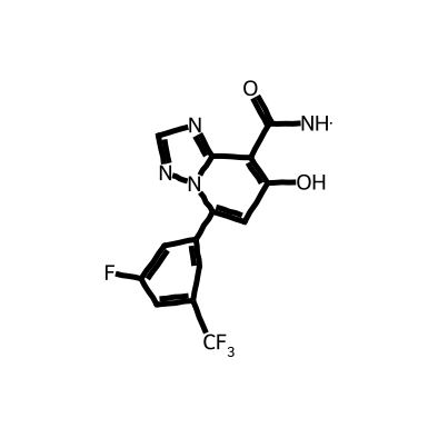 [NH]C(=O)c1c(O)cc(-c2cc(F)cc(C(F)(F)F)c2)n2ncnc12